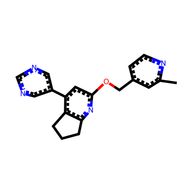 Cc1cc(COc2cc(-c3cncnc3)c3c(n2)CCC3)ccn1